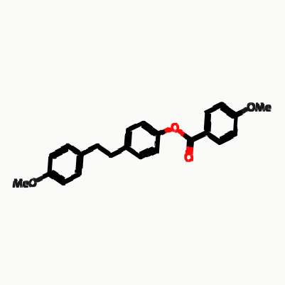 COc1ccc(CCc2ccc(OC(=O)c3ccc(OC)cc3)cc2)cc1